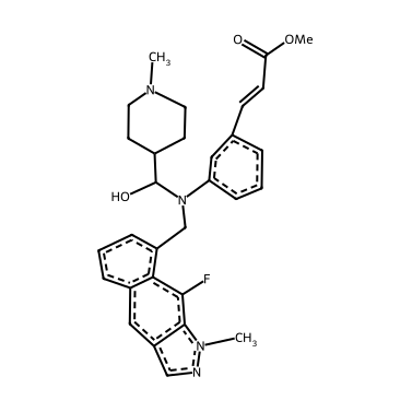 COC(=O)/C=C/c1cccc(N(Cc2cccc3cc4cnn(C)c4c(F)c23)C(O)C2CCN(C)CC2)c1